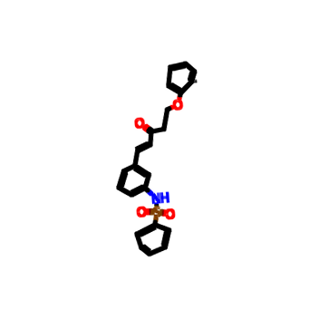 O=C(/C=C/c1cccc(NS(=O)(=O)c2ccccc2)c1)CCOc1[c]cccc1